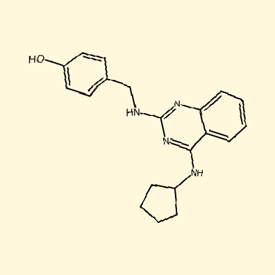 Oc1ccc(CNc2nc(NC3CCCC3)c3ccccc3n2)cc1